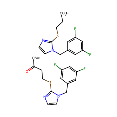 COC(=O)CCSc1nccn1Cc1cc(F)cc(F)c1.O=C(O)CCSc1nccn1Cc1cc(F)cc(F)c1